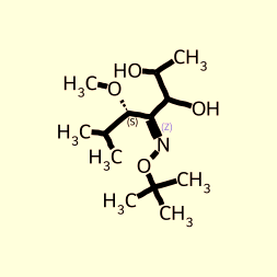 CO[C@H](/C(=N\OC(C)(C)C)C(O)C(C)O)C(C)C